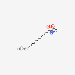 CCCCCCCCCCCCCCCCC=CCCCCCC(CC)(P(=O)=O)[N+](C)(C)C